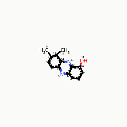 Cc1ccc2nc3cccc(O)c3nc2c1C